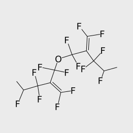 CC(F)C(F)(F)C(=C(F)F)C(F)(F)OC(F)(F)C(=C(F)F)C(F)(F)C(C)F